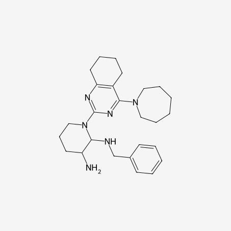 NC1CCCN(c2nc3c(c(N4CCCCCC4)n2)CCCC3)C1NCc1ccccc1